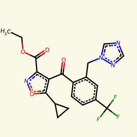 CCOC(=O)c1noc(C2CC2)c1C(=O)c1ccc(C(F)(F)F)cc1Cn1cncn1